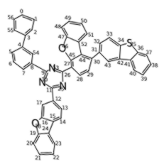 c1ccc(-c2cccc(-c3nc(-c4ccc5c(c4)oc4ccccc45)nc(-c4ccc(-c5ccc6sc7ccccc7c6c5)c5c4oc4ccccc45)n3)c2)cc1